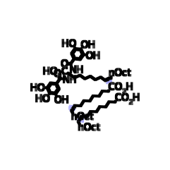 CCCCCCCC/C=C\CCCCCCC(NC(=O)c1cc(O)c(O)c(O)c1)(NC(=O)c1cc(O)c(O)c(O)c1)C(=O)O.CCCCCCCC/C=C\CCCCCCCC(=O)O.CCCCCCCC/C=C\CCCCCCCC(=O)O